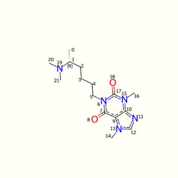 C[C@H](CCCCn1c(=O)c2c(ncn2C)n(C)c1=O)N(C)C